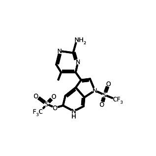 Cc1cnc(N)nc1-c1cn(S(=O)(=O)C(F)(F)F)c2c1=CC(OS(=O)(=O)C(F)(F)F)NC=2